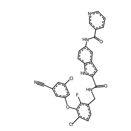 N#Cc1cc(Cl)cc(Oc2c(Cl)ccc(CNC(=O)c3cc4cc(NC(=O)c5cccnc5)ccc4[nH]3)c2F)c1